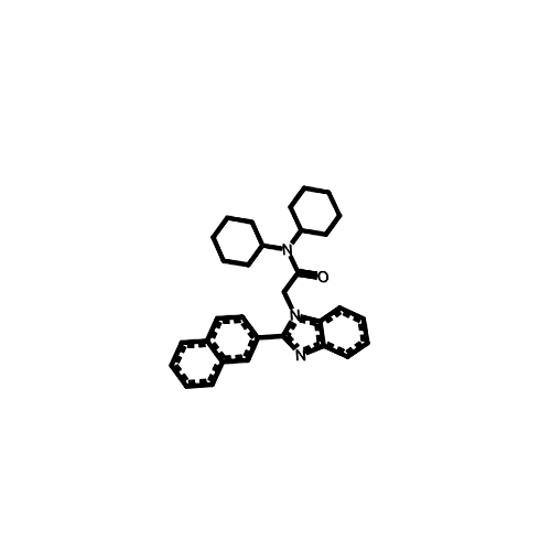 O=C(Cn1c(-c2ccc3ccccc3c2)nc2ccccc21)N(C1CCCCC1)C1CCCCC1